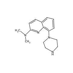 CN(C)c1ccc2cccc(N3CCNCC3)c2n1